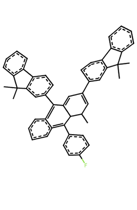 CC1C=C(c2ccc3c(c2)C(C)(C)c2ccccc2-3)C=C2C(c3ccc4c(c3)C(C)(C)c3ccccc3-4)=c3ccccc3=C(c3ccc(F)cc3)C21